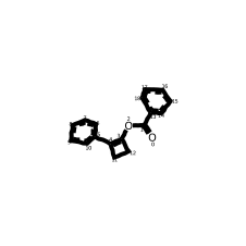 O=C(OC1=C(c2ccccc2)CC1)c1ccccc1